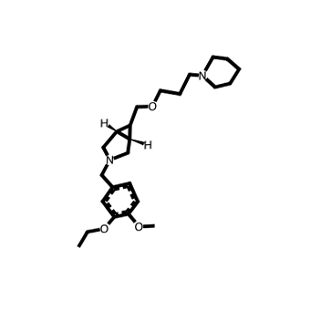 CCOc1cc(CN2C[C@@H]3C(COCCCN4CCCCC4)[C@@H]3C2)ccc1OC